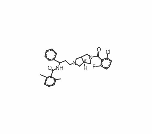 Cc1cccc(C)c1C(=O)NC(CCN1CC2CN(C(=O)c3c(F)cccc3Cl)C[C@@H]2C1)c1ccccc1